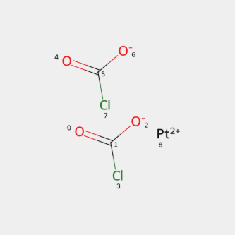 O=C([O-])Cl.O=C([O-])Cl.[Pt+2]